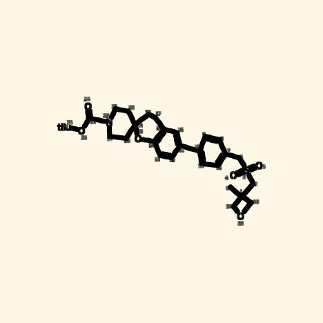 CC1(CS(=O)(=O)Cc2ccc(-c3ccc4c(c3)CCC3(CCN(C(=O)OC(C)(C)C)CC3)O4)cc2)COC1